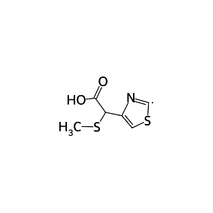 CSC(C(=O)O)c1cs[c]n1